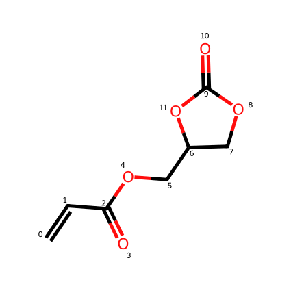 C=CC(=O)OCC1COC(=O)O1